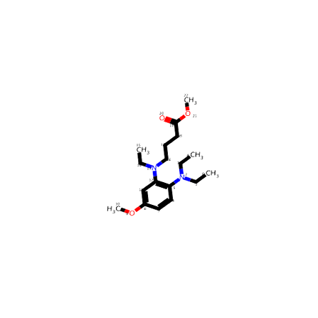 CCN(CC)c1ccc(OC)cc1N(CC)CCCC(=O)OC